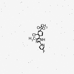 Cc1nc(-c2ccc(F)cn2)[nH]c1-c1ccc(S(C)(=O)=O)cc1Cl